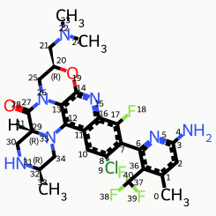 Cc1cc(N)nc(-c2c(Cl)cc3c4c5c(nc3c2F)O[C@H](CN(C)C)CN5C(=O)[C@H]2CN[C@H](C)CN42)c1C(F)(F)F